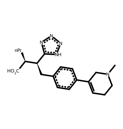 CCC[C@H](C(=O)O)[C@H](Cc1ccc(C2=CCCN(C)C2)cc1)c1nnn[nH]1